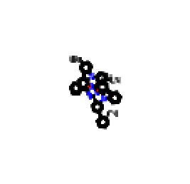 CC(C)(C)c1ccc2c(c1)c1ccccc1n2-c1ccc(C#N)cc1-c1nc(-c2ccccc2)nc(-c2ccc(-c3ccccc3C#N)cc2-n2c3ccccc3c3cc(C(C)(C)C)ccc32)n1